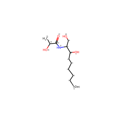 CCCCCCCCCCCCCCCC(O)C(CO)NC(=O)C(C)O